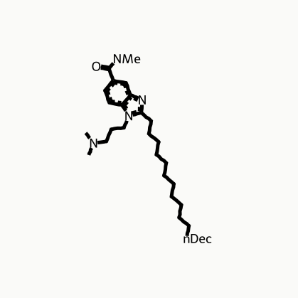 CCCCCCCCCCCCCCCCCCCCCc1nc2cc(C(=O)NC)ccc2n1CCCN(C)C